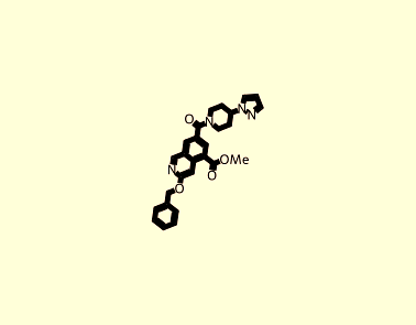 COC(=O)c1cc(C(=O)N2CCC(n3cccn3)CC2)cc2cnc(OCc3ccccc3)cc12